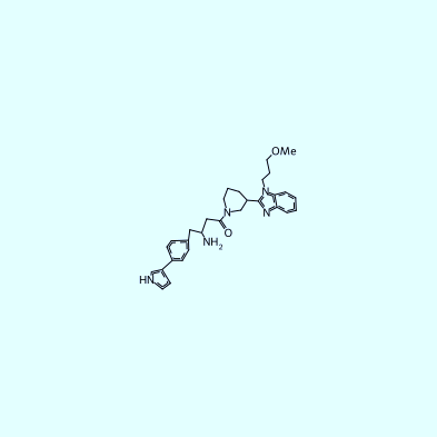 COCCCn1c(C2CCCN(C(=O)CC(N)Cc3ccc(-c4cc[nH]c4)cc3)C2)nc2ccccc21